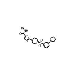 O=C(NO)c1cnc(N2CCN(S(=O)(=O)c3cccc(N4CCCC4)c3)CC2)s1